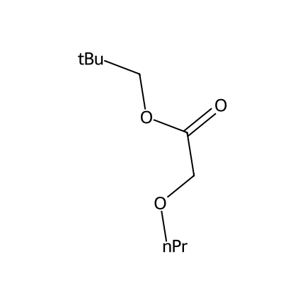 CCCOCC(=O)OCC(C)(C)C